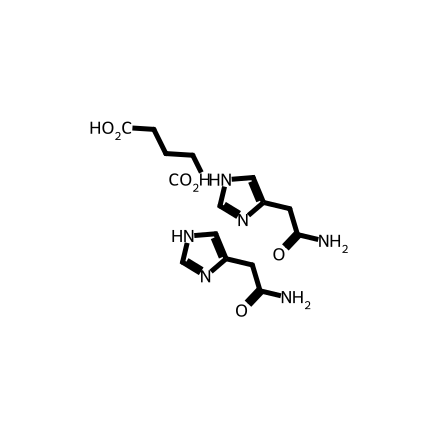 NC(=O)Cc1c[nH]cn1.NC(=O)Cc1c[nH]cn1.O=C(O)CCCC(=O)O